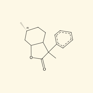 C[C@@H]1CCC2C(C1)OC(=O)C2(C)c1ccccc1